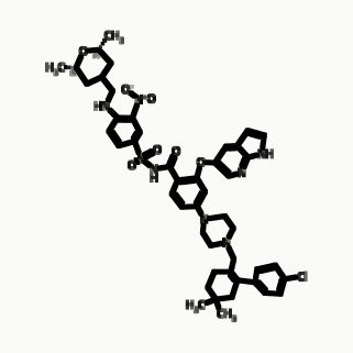 C[C@@H]1CC(CNc2ccc(S(=O)(=O)NC(=O)c3ccc(N4CCN(CC5=C(c6ccc(Cl)cc6)CC(C)(C)CC5)CC4)cc3Oc3cnc4[nH]ccc4c3)cc2[N+](=O)[O-])C[C@H](C)O1